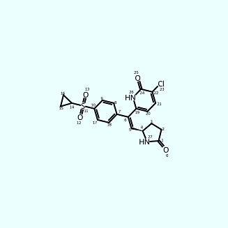 O=C1CC[C@H](C=C(c2ccc(S(=O)(=O)C3CC3)cc2)c2ccc(Cl)c(=O)[nH]2)N1